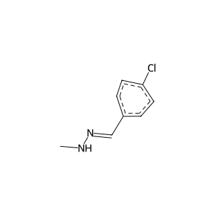 CN/N=C/c1ccc(Cl)cc1